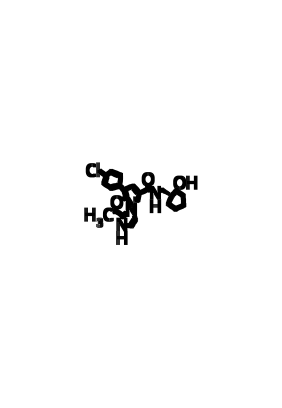 CC(Oc1ncc(C(=O)NC[C@@H]2CCCC[C@@H]2O)cc1-c1ccc(Cl)cc1)c1ncc[nH]1